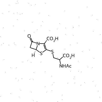 CC(=O)NC(CSC1=C(C(=O)O)N2C(=O)C[C@@H]2S1)C(=O)O